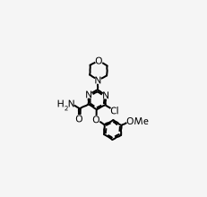 COc1cccc(Oc2c(Cl)nc(N3CCOCC3)nc2C(N)=O)c1